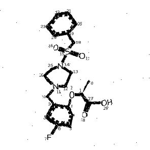 C[C@H](Oc1ccc(F)cc1CN1CCN(S(=O)(=O)Cc2ccccc2)CC1)C(=O)O